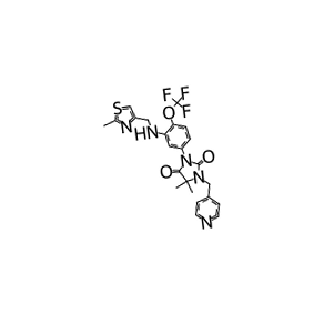 Cc1nc(CNc2cc(N3C(=O)N(Cc4ccncc4)C(C)(C)C3=O)ccc2OC(F)(F)F)cs1